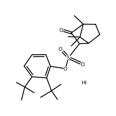 CC(C)(C)c1cccc(OS(=O)(=O)C2C(=O)C3(C)CCC2C3(C)C)c1C(C)(C)C.I